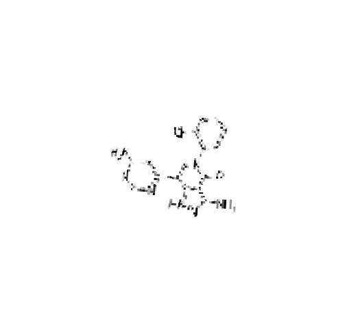 Nc1cc(-c2cn(-c3ccccc3Cl)c(=O)c3c(N)n[nH]c23)ncn1